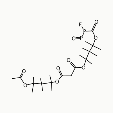 CC(=O)OC(C)(C)C(C)(C)C(C)(C)OC(=O)CC(=O)OC(C)(C)C(C)(C)C(C)(C)OC(=O)P(F)P=O